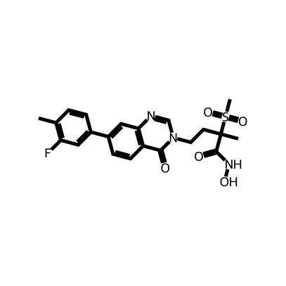 Cc1ccc(-c2ccc3c(=O)n(CCC(C)(C(=O)NO)S(C)(=O)=O)cnc3c2)cc1F